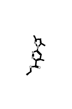 CCOC(=O)c1nnc(-n2nc(C)cc2C)cc1C